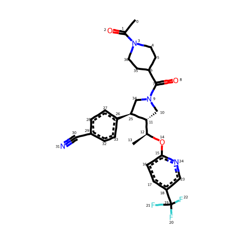 CC(=O)N1CCC(C(=O)N2C[C@H]([C@H](C)Oc3ccc(C(F)(F)F)cn3)[C@@H](c3ccc(C#N)cc3)C2)CC1